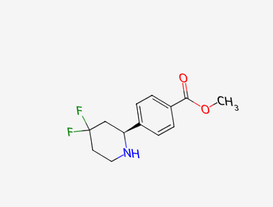 COC(=O)c1ccc([C@@H]2CC(F)(F)CCN2)cc1